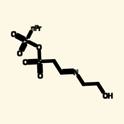 CCCS(=O)(=O)OS(=O)(=O)CC=NCCO